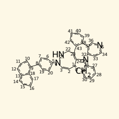 C=C1/C=C\N(c2ccc(-c3cccc4ccccc34)cc2)NCC2=C1N(c1ccccc1)c1ccncc1-c1ccccc12